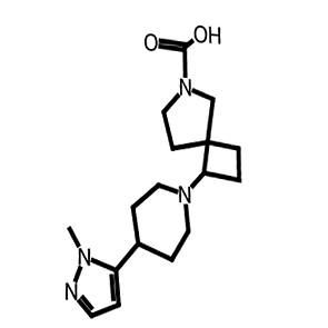 Cn1nccc1C1CCN(C2CCC23CCN(C(=O)O)C3)CC1